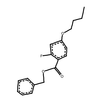 CCCCOc1ccc(C(=O)OCc2ccccc2)c(F)c1